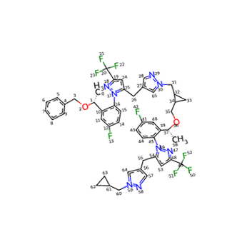 C[C@@H](OCc1ccccc1)c1cc(F)ccc1-n1nc(C(F)(F)F)cc1Cc1cnn(CC2CC2CO[C@H](C)c2cc(F)ccc2-n2nc(C(F)(F)F)cc2Cc2cnn(CC3CC3)c2)c1